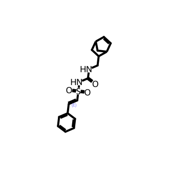 O=C(NCC1CC2C=CC1C2)NS(=O)(=O)/C=C/c1ccccc1